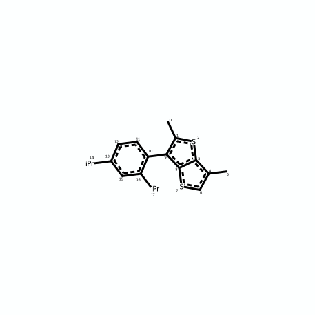 Cc1sc2c(C)csc2c1-c1ccc(C(C)C)cc1C(C)C